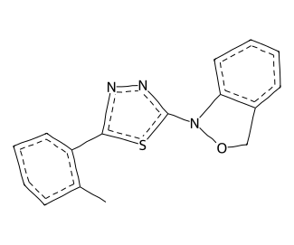 Cc1ccccc1-c1nnc(N2OCc3ccccc32)s1